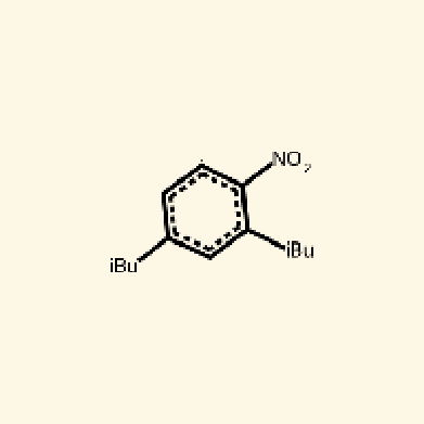 CCC(C)c1c[c]c([N+](=O)[O-])c(C(C)CC)c1